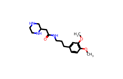 COc1ccc(CCCNC(=O)CC2CNCCN2)cc1OC